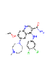 CCOc1cc2ncc(C(N)=O)c(Nc3ccc(Cl)c(Cl)c3)c2cc1N1CCCN(C)CC1